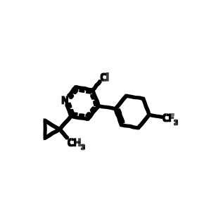 CC1(c2cc(C3=CCC(C(F)(F)F)CC3)c(Cl)cn2)CC1